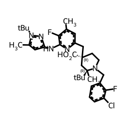 Cc1cc(C[C@@]2(C(=O)O)CCN(Cc3cccc(Cl)c3F)[C@@](C)(C(C)(C)C)C2)nc(Nc2cc(C)n(C(C)(C)C)n2)c1F